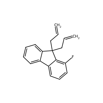 C=CCC1(CC=C)c2ccccc2-c2cccc(F)c21